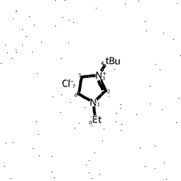 CCN1C=[N+](C(C)(C)C)CC1.[Cl-]